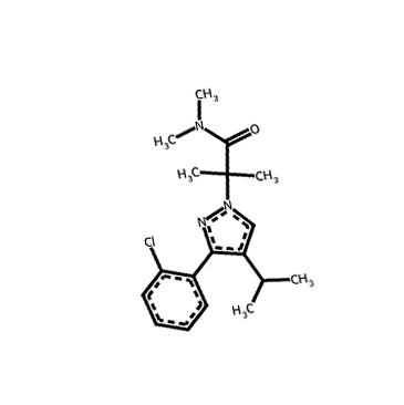 CC(C)c1cn(C(C)(C)C(=O)N(C)C)nc1-c1ccccc1Cl